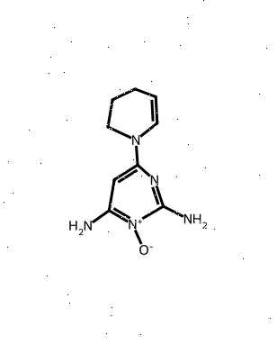 Nc1cc(N2C=CCCC2)nc(N)[n+]1[O-]